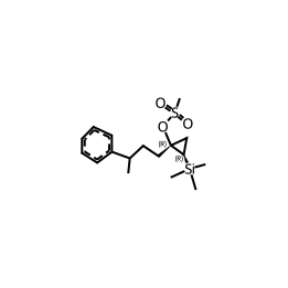 CC(CC[C@@]1(OS(C)(=O)=O)C[C@H]1[Si](C)(C)C)c1ccccc1